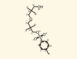 Cc1ccc(S(=O)(=O)OCC(C)(C)COCC(C)(C)CO)cc1